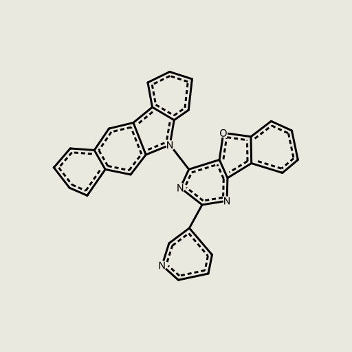 c1cncc(-c2nc(-n3c4ccccc4c4cc5ccccc5cc43)c3oc4ccccc4c3n2)c1